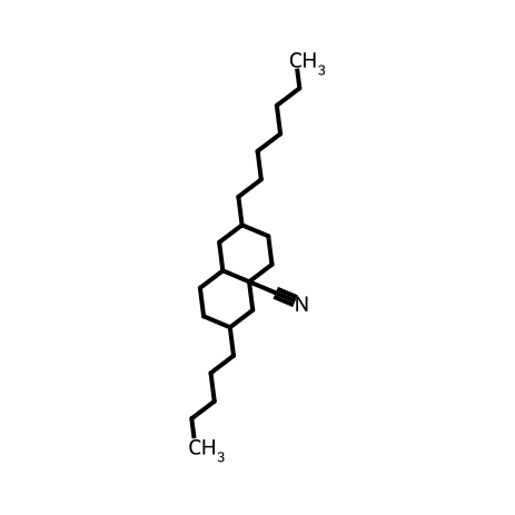 CCCCCCCC1CCC2(C#N)CC(CCCCC)CCC2C1